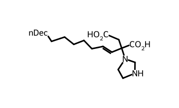 CCCCCCCCCCCCCCCC=CC(CC(=O)O)(C(=O)O)N1CCNC1